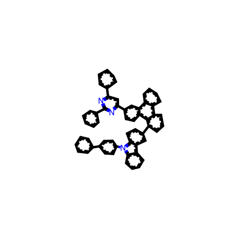 c1ccc(-c2ccc(-n3c4ccccc4c4cc(-c5cccc6c7ccccc7c7cc(-c8cc(-c9ccccc9)nc(-c9ccccc9)n8)ccc7c56)ccc43)cc2)cc1